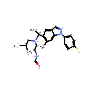 Cc1cc2c(cnn2-c2ccc(F)cc2)cc1C(C)N(CCNC=O)CC(C)C